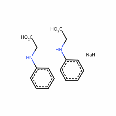 O=C(O)CNc1ccccc1.O=C(O)CNc1ccccc1.[NaH]